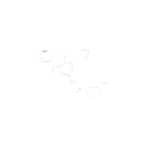 Nc1ncc(/C=C/C(=O)N2CCNC(C=O)C2)c2scc(-c3ccccc3)c12.c1ccsc1